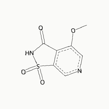 COc1cncc2c1C(=O)NS2(=O)=O